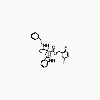 C[C@](Cc1c[nH]c2ccccc12)(NC(=O)OCc1cc(F)ccc1F)C(=O)NCCc1ccccc1